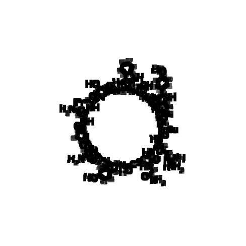 CCCC[C@H]1C(=O)N(C)[C@@H](CCCC)C(=O)NC(CCCNC(=N)N)C(=O)N[C@H](C(=O)NCC(N)=O)CSCC(=O)N[C@@H](Cc2ccc(O)cc2)C(=O)N(C)[C@@H](C)C(=O)N[C@@H](CC(N)=O)C(=O)N2CCC[C@H]2C(=O)N[C@@H](CCN)C(=O)N[C@@H](CC(C)C)C(=O)N2C[C@H](O)C[C@H]2C(=O)N[C@@H](Cc2c[nH]c3ccccc23)C(=O)N[C@@H](CO)C(=O)N[C@@H](Cc2c(-c3ccc(OCC)cc3)[nH]c3ccccc23)C(=O)N1C